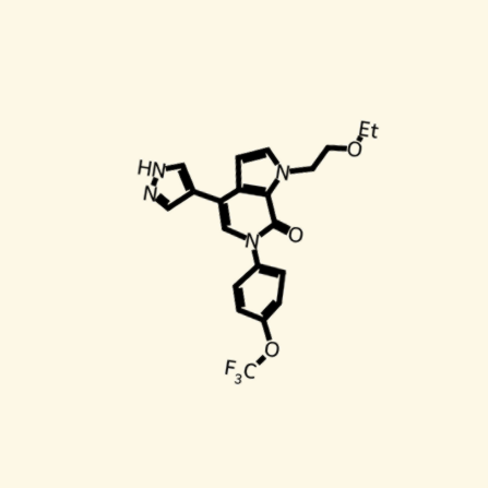 CCOCCn1ccc2c(-c3cn[nH]c3)cn(-c3ccc(OC(F)(F)F)cc3)c(=O)c21